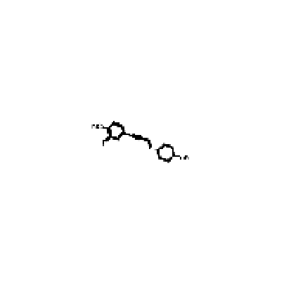 CCC[C@H]1CC[C@H](C=CC#Cc2ccc(C#N)c(F)c2)CC1